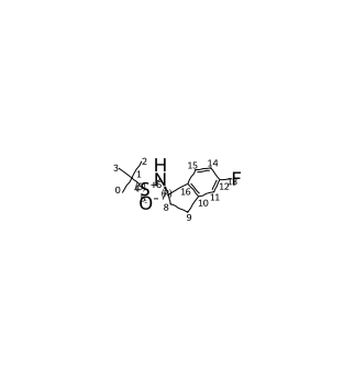 CC(C)(C)[S@@+]([O-])N[C@@H]1CCc2cc(F)ccc21